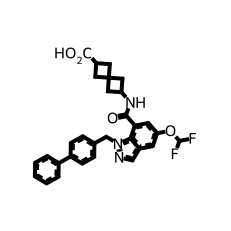 O=C(NC1CC2(C1)CC(C(=O)O)C2)c1cc(OC(F)F)cc2cnn(Cc3ccc(-c4ccccc4)cc3)c12